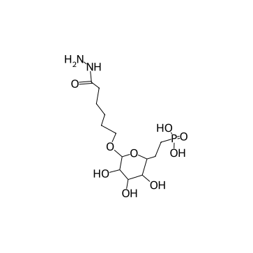 NNC(=O)CCCCCOC1OC(CCP(=O)(O)O)C(O)C(O)C1O